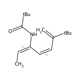 C=C(/C=C\C(=C/C)NC(=O)C(C)(C)C)C(C)(C)C